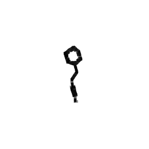 [CH2]C#CCCc1ccccc1